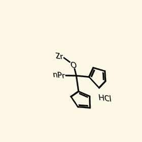 CCCC([O][Zr])(C1=CC=CC1)C1=CC=CC1.Cl